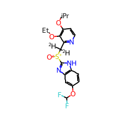 [2H]C([2H])(c1nccc(OC(C)C)c1OCC)[S+]([O-])c1nc2cc(OC(F)F)ccc2[nH]1